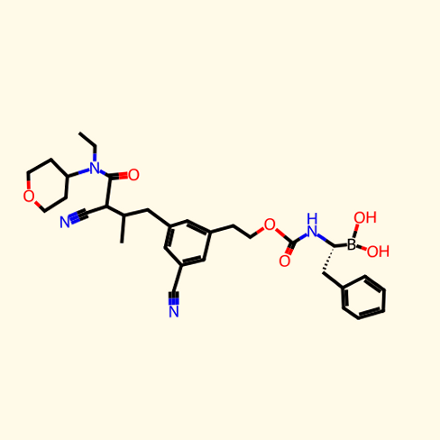 CCN(C(=O)C(C#N)C(C)Cc1cc(C#N)cc(CCOC(=O)N[C@@H](Cc2ccccc2)B(O)O)c1)C1CCOCC1